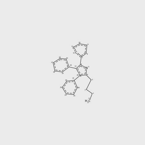 CCCCc1nc(-c2ccccc2)c(-c2ccccc2)n1-c1ccccc1